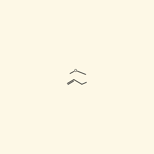 C=CCC.COC